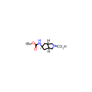 CC(C)(C)OC(=O)N[C@]1(C)C[C@H]2CN(C(=O)O)C[C@H]2C1